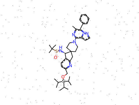 Cc1nc(N2CCC3(CC2)Cc2nc(CO[Si](C(C)C)(C(C)C)C(C)C)ccc2[C@H]3N[S@+]([O-])C(C)(C)C)c2ccnn2c1-c1ccccc1